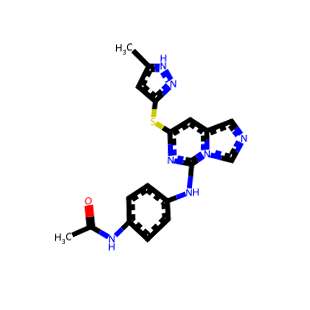 CC(=O)Nc1ccc(Nc2nc(Sc3cc(C)[nH]n3)cc3cncn23)cc1